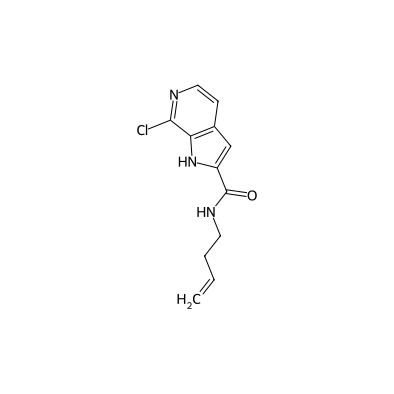 C=CCCNC(=O)c1cc2ccnc(Cl)c2[nH]1